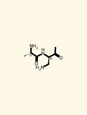 CC(=O)[C@@H](CN)NC(=O)[C@H](C)N